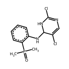 CP(C)(=O)c1ccccc1NC1NC(Cl)=NC=C1Cl